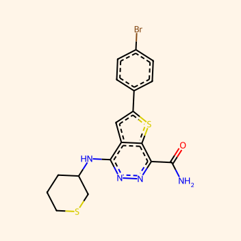 NC(=O)c1nnc(NC2CCCSC2)c2cc(-c3ccc(Br)cc3)sc12